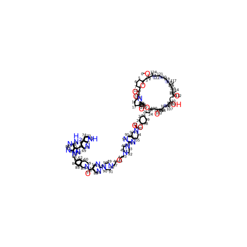 CO[C@H]1CC2CCCC(O2)C(=O)C(=O)N2CCCC[C@H]2C(=O)O[C@H](CC[C@H]2CC[C@H](OC(=O)N3CCc4nc(N5CCN(CCOCCN6CCN(c7ncc(C(=O)N8CCc9cc(Cn%10nc(-c%11cnc%12[nH]ccc%12c%11)c%11c(N)ncnc%11%10)ccc9C8)cn7)CC6)CC5)ncc4C3)CC2)CC(=O)[C@H](C)/C=C(\C)[C@@H](O)CC(=O)[C@H](C)C[C@H](C)/C=C/C=C/C=C/1C